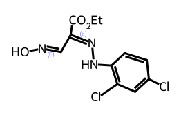 CCOC(=O)C(/C=N/O)=N/Nc1ccc(Cl)cc1Cl